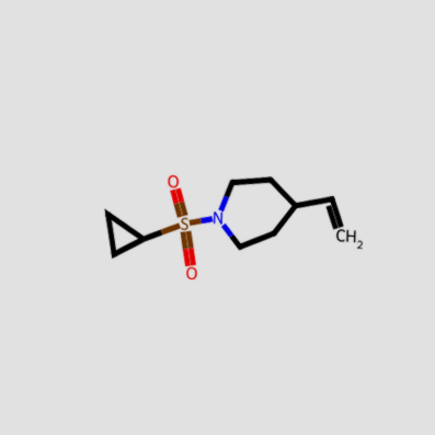 C=CC1CCN(S(=O)(=O)C2CC2)CC1